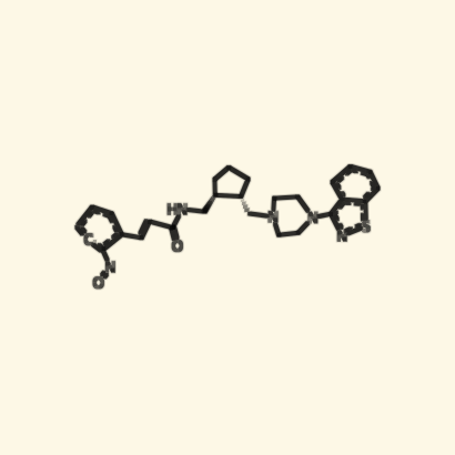 O=Nc1ccccc1/C=C/C(=O)NC[C@H]1CCC[C@@H]1CN1CCN(c2nsc3ccccc23)CC1